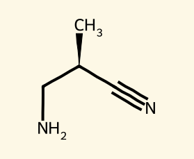 C[C@@H](C#N)CN